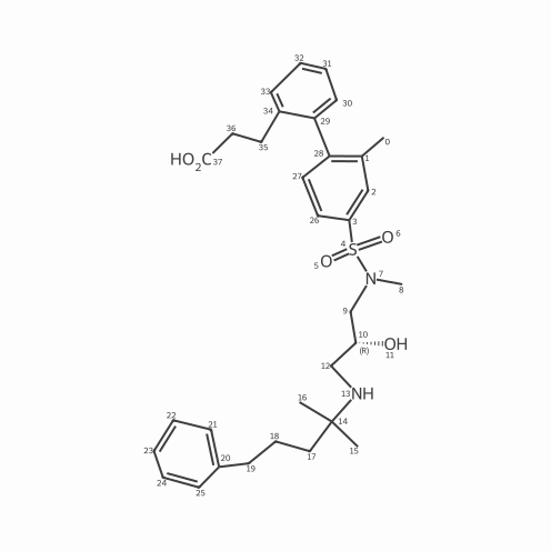 Cc1cc(S(=O)(=O)N(C)C[C@H](O)CNC(C)(C)CCCc2ccccc2)ccc1-c1ccccc1CCC(=O)O